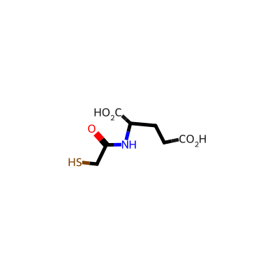 O=C(O)CCC(NC(=O)CS)C(=O)O